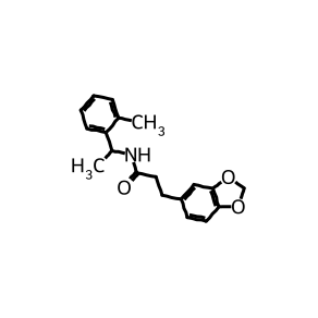 Cc1ccccc1C(C)NC(=O)CCc1ccc2c(c1)OCO2